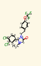 CN1CC(=O)N(CCc2ccc(OC(F)(F)F)cc2)C1c1ccc(Cl)c(Cl)c1